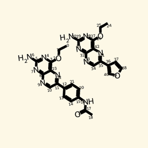 CCOc1nc(N)nc2ncc(-c3ccc(NC(C)=O)cc3)nc12.CCOc1nc(N)nc2ncc(-c3ccoc3)nc12